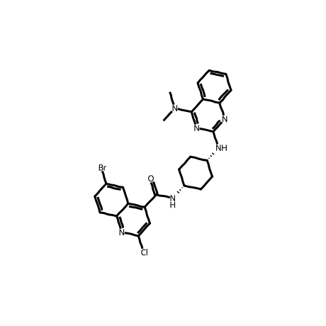 CN(C)c1nc(N[C@H]2CC[C@@H](NC(=O)c3cc(Cl)nc4ccc(Br)cc34)CC2)nc2ccccc12